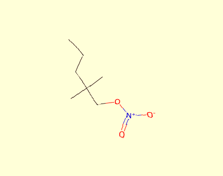 CCCC(C)(C)CO[N+](=O)[O-]